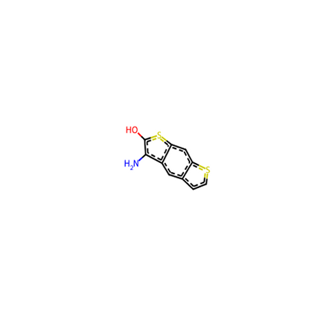 Nc1c(O)sc2cc3sccc3cc12